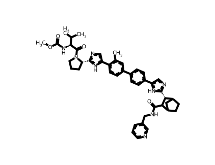 COC(=O)N[C@H](C(=O)N1CCC[C@H]1c1ncc(-c2ccc(-c3ccc(-c4cnc([C@@H]5C6CCC(C6)C5C(=O)NCc5cccnc5)[nH]4)cc3)cc2C)[nH]1)C(C)C